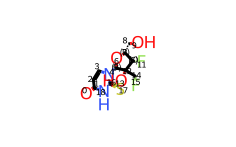 O=c1ccn([C@@H]2O[C@H](CO)[C@H](F)C2(O)CF)c(=S)[nH]1